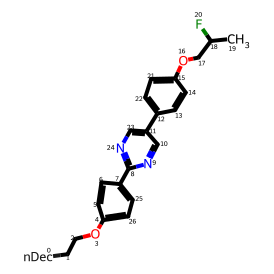 CCCCCCCCCCCCOc1ccc(-c2ncc(-c3ccc(OCC(C)F)cc3)cn2)cc1